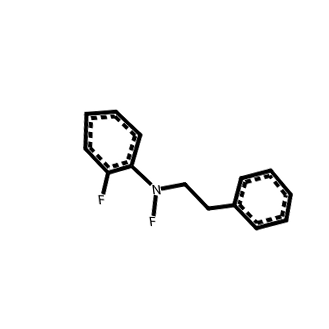 Fc1ccccc1N(F)CCc1ccccc1